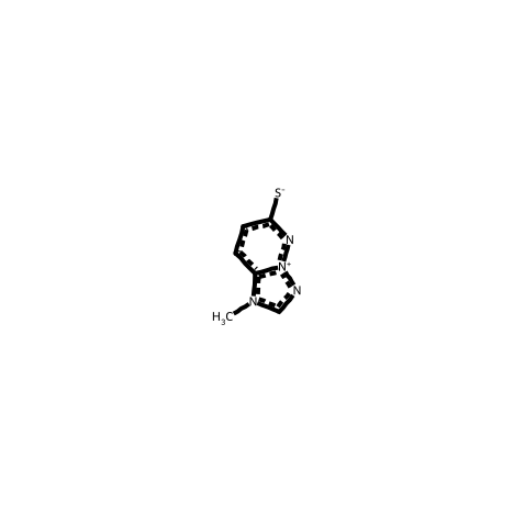 Cn1cn[n+]2nc([S-])ccc12